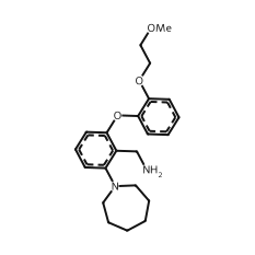 COCCOc1ccccc1Oc1cccc(N2CCCCCC2)c1CN